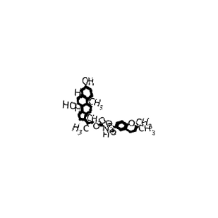 C[C@H](COC(=O)NS(=O)(=O)c1ccc2c(c1)CCC(C)(C)O2)C1CCC2[C@H]3C(CC[C@@]21C)[C@@]1(C)CC[C@@H](O)C[C@H]1C[C@H]3O